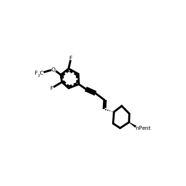 CCCCC[C@H]1CC[C@H](C=CC#Cc2cc(F)c(OC(F)(F)F)c(F)c2)CC1